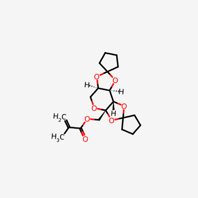 C=C(C)C(=O)OC[C@@]12OC[C@H]3OC4(CCCC4)O[C@H]3[C@@H]1OC1(CCCC1)O2